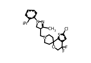 CC1=NN(c2ccccc2C(C)C)CC1CN1CCC2(CC1)OCC(F)(F)c1cc(Cl)sc12